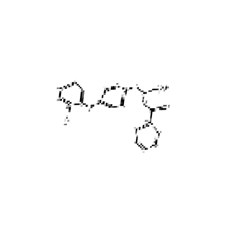 O=C(N[C@@H](Cc1ccc(Oc2ccccc2Br)cc1)C(=O)O)c1ccccc1